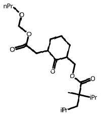 CCCOCOC(=O)CC1CCCC(COC(=O)C(C)(CC(C)C)C(C)C)C1=O